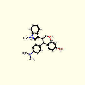 CN(C)c1ccc(C2c3ccc(O)cc3OCC2c2cn(C)c3ccccc23)cc1